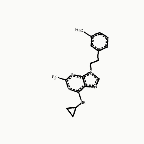 COc1cccc(CCn2cnc3c(NC4CC4)nc(C(F)(F)F)nc32)c1